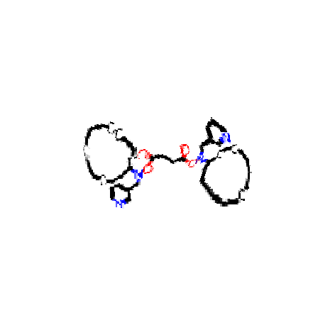 O=C(CCC(=O)ON(Cc1cccnc1)C1CCCCCCCCCCCCCC1)ON(Cc1cccnc1)C1CCCCCCCCCCCCCC1